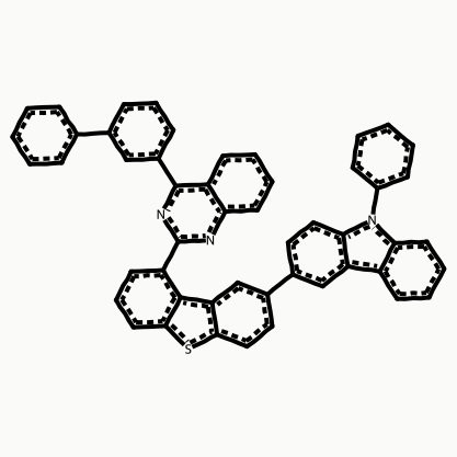 c1ccc(-c2cccc(-c3nc(-c4cccc5sc6ccc(-c7ccc8c(c7)c7ccccc7n8-c7ccccc7)cc6c45)nc4ccccc34)c2)cc1